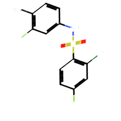 CC(C)(C)c1ccc(NS(=O)(=O)c2ccc(F)cc2Cl)cc1F